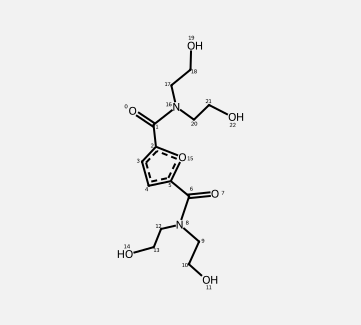 O=C(c1ccc(C(=O)N(CCO)CCO)o1)N(CCO)CCO